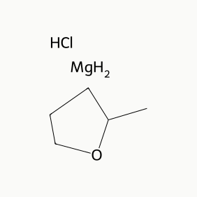 CC1CCCO1.Cl.[MgH2]